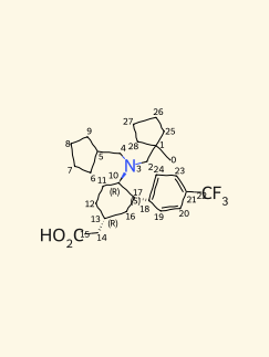 CC1(CN(CC2CCCC2)[C@@H]2CC[C@@H](CC(=O)O)C[C@H]2c2ccc(C(F)(F)F)cc2)CCCC1